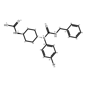 O=C(O)N[C@H]1CC[C@H](N(C(=O)NCc2ccccc2)c2ccc(Br)cc2)CC1